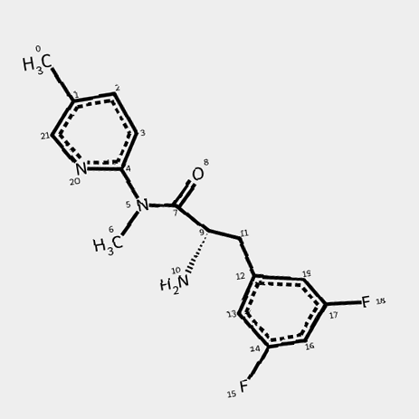 Cc1ccc(N(C)C(=O)[C@@H](N)Cc2cc(F)cc(F)c2)nc1